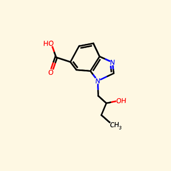 CCC(O)Cn1cnc2ccc(C(=O)O)cc21